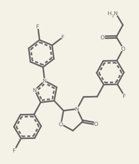 NCC(=O)Oc1ccc(CCN2C(=O)COC2c2cn(-c3ccc(F)c(F)c3)nc2-c2ccc(F)cc2)c(F)c1